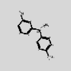 COc1ccc([C@@H](C)c2[c]c(C#N)ccc2)cc1